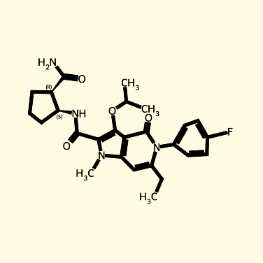 CCc1cc2c(c(OC(C)C)c(C(=O)N[C@H]3CCC[C@H]3C(N)=O)n2C)c(=O)n1-c1ccc(F)cc1